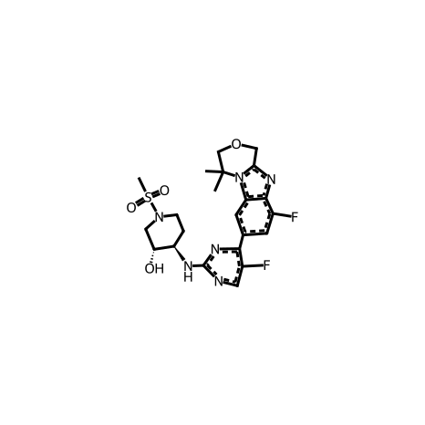 CC1(C)COCc2nc3c(F)cc(-c4nc(N[C@@H]5CCN(S(C)(=O)=O)C[C@H]5O)ncc4F)cc3n21